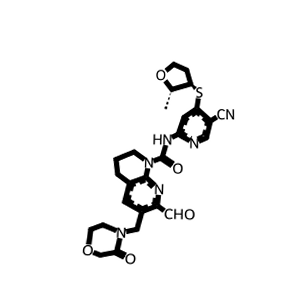 C[C@@H]1OCC[C@H]1Sc1cc(NC(=O)N2CCCc3cc(CN4CCOCC4=O)c(C=O)nc32)ncc1C#N